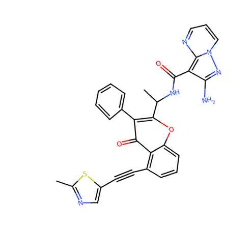 Cc1ncc(C#Cc2cccc3oc(C(C)NC(=O)c4c(N)nn5cccnc45)c(-c4ccccc4)c(=O)c23)s1